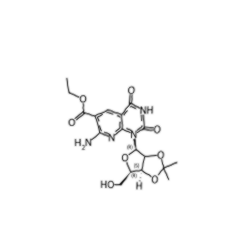 CCOC(=O)c1cc2c(=O)[nH]c(=O)n([C@@H]3O[C@H](CO)[C@@H]4OC(C)(C)OC43)c2nc1N